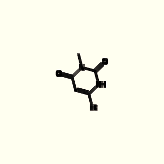 CCc1cc(=O)n(C)c(=O)[nH]1